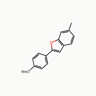 COc1ccc(-c2cc3ccc(C)cc3o2)cc1